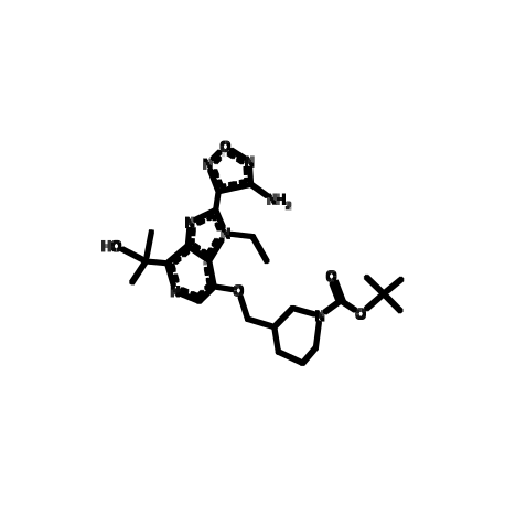 CCn1c(-c2nonc2N)nc2c(C(C)(C)O)ncc(OCC3CCCN(C(=O)OC(C)(C)C)C3)c21